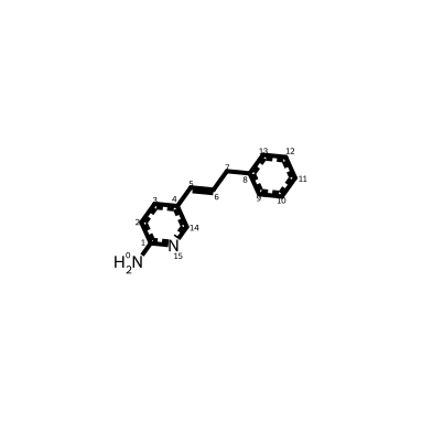 Nc1ccc(/C=C/Cc2ccccc2)cn1